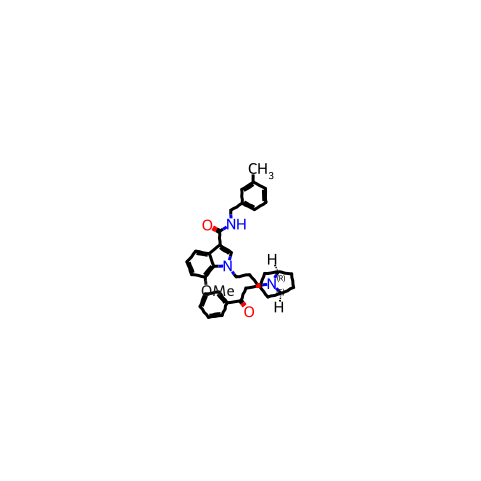 COc1cccc2c(C(=O)NCc3cccc(C)c3)cn(CCCN3[C@@H]4CC[C@H]3CC(CC(=O)c3ccccc3)C4)c12